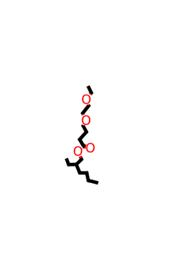 CCCCC(CC)COC(=O)CCCOCCOCC